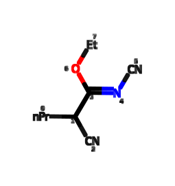 CCCC(C#N)C(=NC#N)OCC